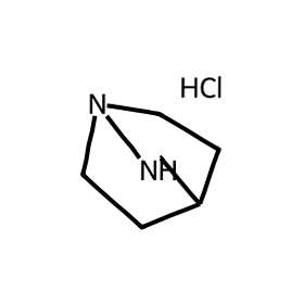 C1CN2CCC1CN2.Cl